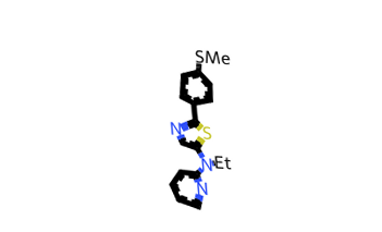 CCN(c1ccccn1)c1cnc(-c2ccc(SC)cc2)s1